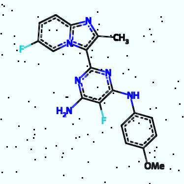 COc1ccc(Nc2nc(-c3c(C)nc4ccc(F)cn34)nc(N)c2F)cc1